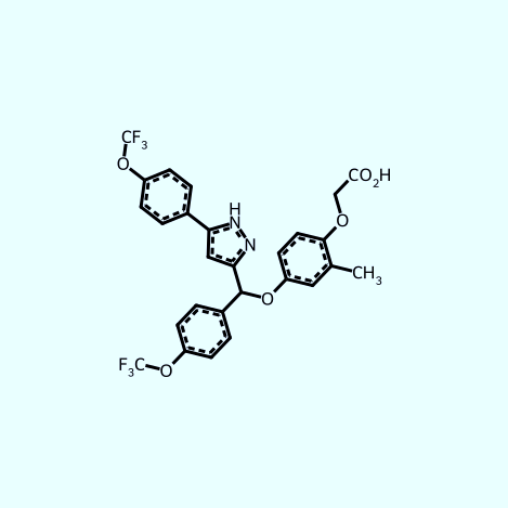 Cc1cc(OC(c2ccc(OC(F)(F)F)cc2)c2cc(-c3ccc(OC(F)(F)F)cc3)[nH]n2)ccc1OCC(=O)O